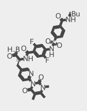 BC(=O)[C@H](Cc1ccc(-n2c(=O)c(C)c(C)n(C)c2=O)nc1)NC(=O)c1cc(F)c(NS(=O)(=O)c2ccc(C(=O)NC(C)(C)C)cc2)cc1F